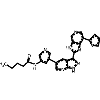 CCCCC(=O)Nc1cncc(-c2cnc3[nH]nc(-c4nc5c(-c6cccs6)cncc5[nH]4)c3c2)c1